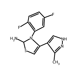 Cc1n[nH]cc1C1=CSC(N)N1c1cc(F)ccc1F